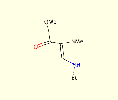 CCN/C=C(\NC)C(=O)OC